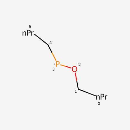 CCCCO[P]CCCC